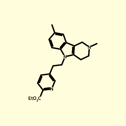 CCOC(=O)c1ccc(CCn2c3c(c4cc(C)ccc42)CN(C)CC3)cn1